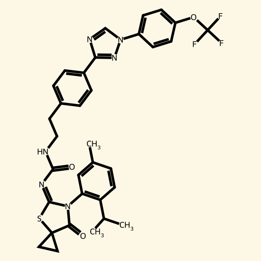 Cc1ccc(C(C)C)c(N2C(=O)C3(CC3)SC2=NC(=O)NCCc2ccc(-c3ncn(-c4ccc(OC(F)(F)F)cc4)n3)cc2)c1